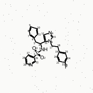 O=S(=O)(NC(Cc1ccccc1)c1cncn1CCc1ccc(F)cc1)c1cccnc1